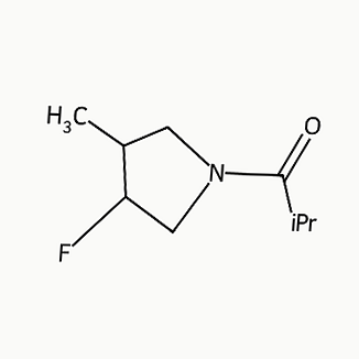 CC(C)C(=O)N1CC(C)C(F)C1